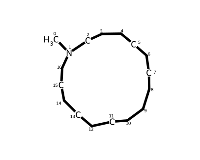 CN1CCCCCCCCCCCCCCC1